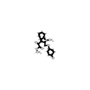 COC(=O)C(=O)c1c(COc2ccc(Cl)cc2)n(C)c2ccccc12